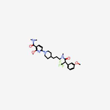 COc1cccc(C(C(=O)N(C)CCCC2CCN(c3ccc(C(=O)N(C)C)c(OC)n3)CC2)C(F)(F)F)c1